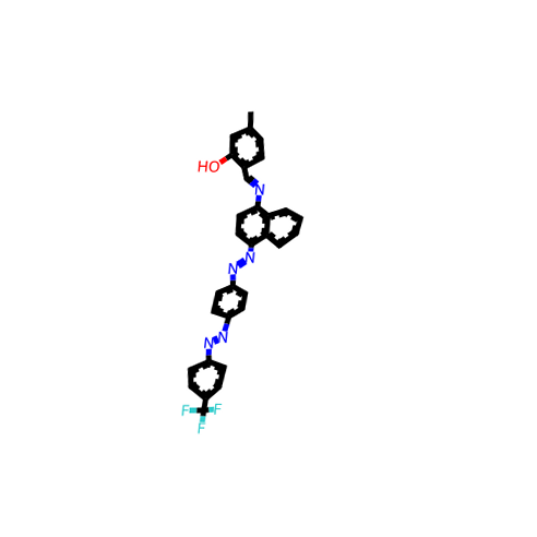 Cc1ccc(/C=N/c2ccc(/N=N/c3ccc(/N=N/c4ccc(C(F)(F)F)cc4)cc3)c3ccccc23)c(O)c1